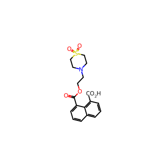 O=C(O)c1cccc2cccc(C(=O)OCCN3CCS(=O)(=O)CC3)c12